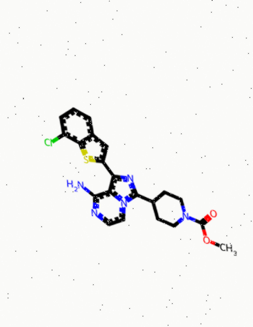 COC(=O)N1CCC(c2nc(-c3cc4cccc(Cl)c4s3)c3c(N)nccn23)CC1